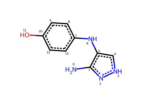 Nc1n[nH]cc1Nc1ccc(O)cc1